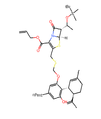 C=CCOC(=O)C1=C(CSCOc2cc(CCCCC)cc(O)c2[C@@H]2C=C(C)CC[C@H]2C(=C)C)S[C@@H]2[C@@H](C(C)O[Si](C)(C)C(C)(C)C)C(=O)N12